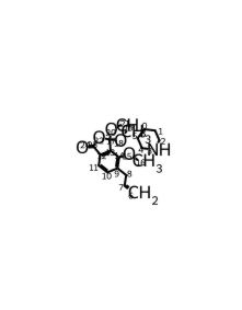 C1CCNCC1.C=CCc1ccc2c(c1OC)C(OC)(OC)OC2=O